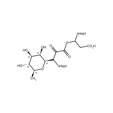 CCCCCCCC(CC(=O)O)OC(=O)C(=O)C(CCCCCCC)[C@H]1O[C@@H](C)[C@H](O)[C@@H](O)[C@H]1O